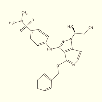 C[C@@H](CC#N)n1nc(Nc2ccc(S(=O)(=O)N(C)C)cc2)c2c(OCc3ccccc3)nccc21